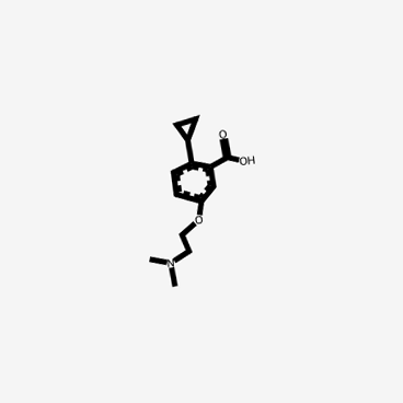 CN(C)CCOc1ccc(C2CC2)c(C(=O)O)c1